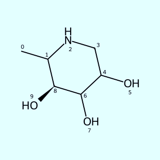 CC1NCC(O)C(O)[C@H]1O